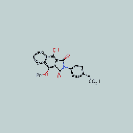 CC(C)Oc1c2c(c(O)c3ccccc13)C(=O)N(c1ccc(CC(=O)O)cc1)C2=O